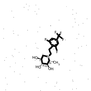 C[C@@H]1[C@@H](O)[C@H](O)[C@@H](O)CN1CCc1c(F)cc(C(F)(F)F)cc1F